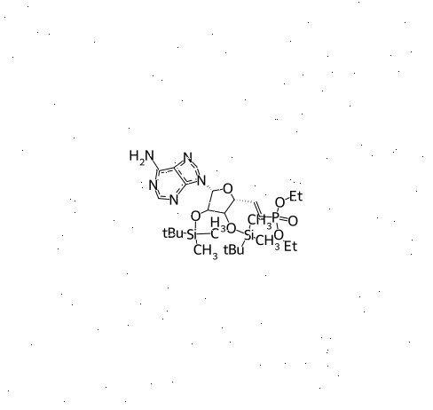 CCOP(=O)(/C=C/[C@H]1O[C@@H](n2cnc3c(N)ncnc32)C(O[Si](C)(C)C(C)(C)C)C1O[Si](C)(C)C(C)(C)C)OCC